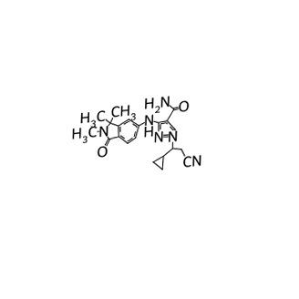 CN1C(=O)c2ccc(Nc3nn(C(CC#N)C4CC4)cc3C(N)=O)cc2C1(C)C